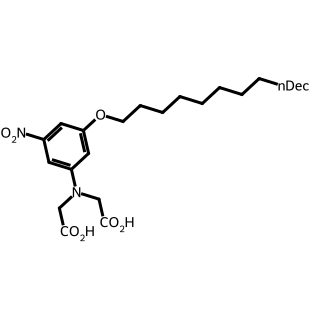 CCCCCCCCCCCCCCCCCCOc1cc(N(CC(=O)O)CC(=O)O)cc([N+](=O)[O-])c1